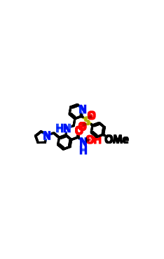 COc1ccc(S(=O)(=O)c2ncccc2CNc2c(CN3CCCC3)cccc2C(=O)NO)cc1